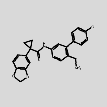 CCc1ccc(NC(=O)C2(c3ccc4c(c3)OCO4)CC2)cc1-c1ccc(Cl)cc1